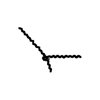 CCCCCCCCCCCCCCCCCCn1cc[n+](CCCCCC)c1CCCCCCCCCCCCCCCC